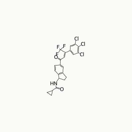 O=C(C=C(c1cc(Cl)c(Cl)c(Cl)c1)C(F)(F)F)c1ccc2c(c1)CCC2NC(=O)C1CC1